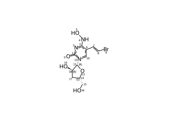 O=c1nc(NO)c(C=CBr)cn1[C@@H]1O[C@H](CO)C[C@H]1O